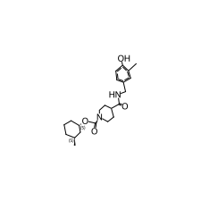 Cc1cc(CNC(=O)C2CCN(C(=O)O[C@H]3CCC[C@H](C)C3)CC2)ccc1O